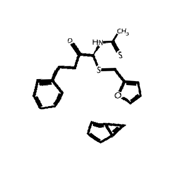 CC(=S)N[C@@H](SCc1ccco1)C(=O)CCc1ccccc1.c1cc2cc-2c1